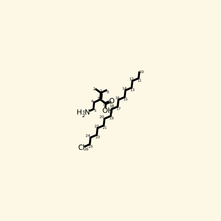 CC(C)=C(CCN)C(=O)O.CCCCCCCCCCCCCCCCCl